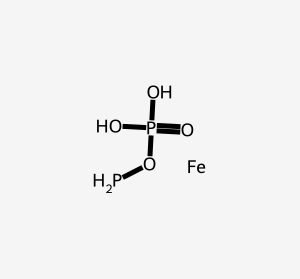 O=P(O)(O)OP.[Fe]